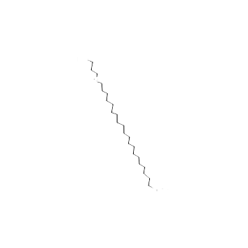 CCCCCCCCCCCCCCCCCCCCCCCCCCCCCCNCCCO